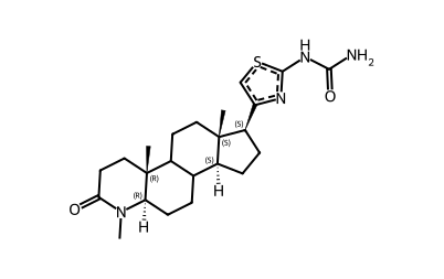 CN1C(=O)CC[C@]2(C)C3CC[C@]4(C)[C@@H](c5csc(NC(N)=O)n5)CC[C@H]4C3CC[C@@H]12